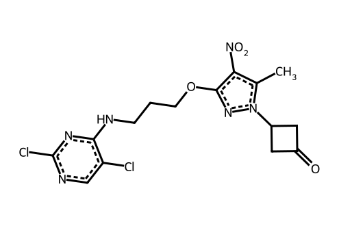 Cc1c([N+](=O)[O-])c(OCCCNc2nc(Cl)ncc2Cl)nn1C1CC(=O)C1